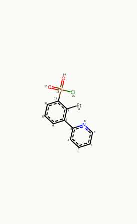 CCc1c(-c2ccccn2)cccc1S(=O)(=O)Cl